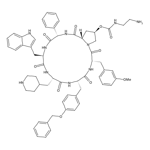 COc1cccc(C[C@@H]2NC(=O)[C@H](Cc3ccc(OCc4ccccc4)cc3)NC(=O)[C@H](CC3CCNCC3)NC(=O)[C@@H](Cc3c[nH]c4ccccc34)NC(=O)[C@H](c3ccccc3)NC(=O)[C@@H]3C[C@@H](OC(=O)NCCN)CN3C2=O)c1